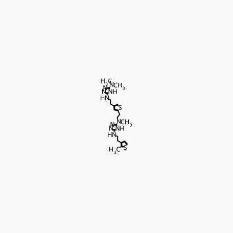 Cc1sccc1CCNc1nnc(N(C)CCc2cc(CCNc3nnc(N(C)C)[nH]3)cs2)[nH]1